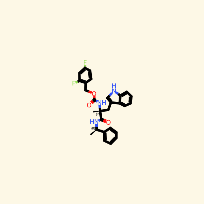 C[C@@H](NC(=O)[C@@](C)(Cc1c[nH]c2ccccc12)NC(=O)OCc1ccc(F)cc1F)c1ccccc1